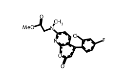 COC(=O)CN(C)c1ccc2c(-c3ccc(F)cc3Cl)cc(=O)oc2n1